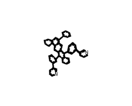 c1ccc(-c2cc3ccccc3c3cc4c(-c5cccc(-c6cccnc6)c5)c5ccccc5c(-c5cccc(-c6cccnc6)c5)c4cc23)cc1